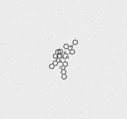 CN1C(c2cccc3ccccc23)=NC(c2ccc3c(oc4cc5ccccc5cc43)c2-n2c3cc4ccccc4cc3c3cc4ccccc4cc32)=NC1c1cccc2c1c1ccccc1n2-c1ccccc1